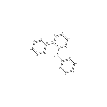 c1ccc([I+]c2ccccc2-c2ccccc2)cc1